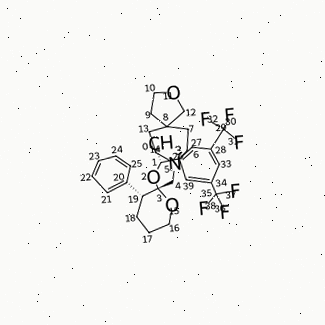 C[C@@H](O[C@]1(CN2CCC3(CCOC3)CC2)OCCC[C@@H]1c1ccccc1)c1cc(C(F)(F)F)cc(C(F)(F)F)c1